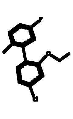 CCOc1cc(Cl)ccc1-c1cc(F)ccc1C